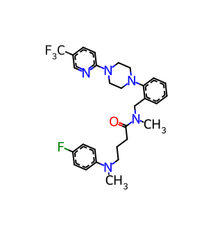 CN(Cc1ccccc1N1CCN(c2ccc(C(F)(F)F)cn2)CC1)C(=O)CCCN(C)c1ccc(F)cc1